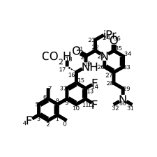 Cc1cc(F)cc(C)c1-c1cc(F)c(F)c([C@H](CC(=O)O)NC(=O)C(CC(C)C)n2cc(CCN(C)C)ccc2=O)c1